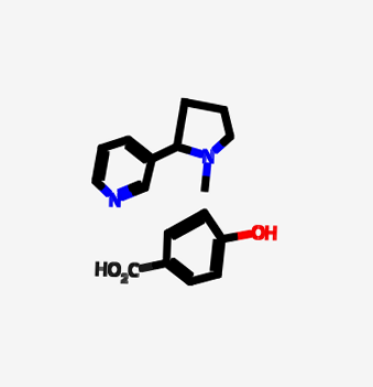 CN1CCCC1c1cccnc1.O=C(O)c1ccc(O)cc1